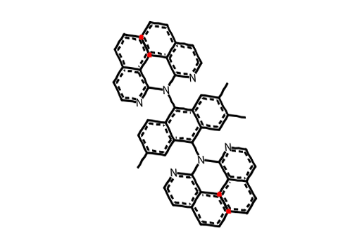 Cc1ccc2c(N(c3nccc4ccccc34)c3nccc4ccccc34)c3cc(C)c(C)cc3c(N(c3nccc4ccccc34)c3nccc4ccccc34)c2c1